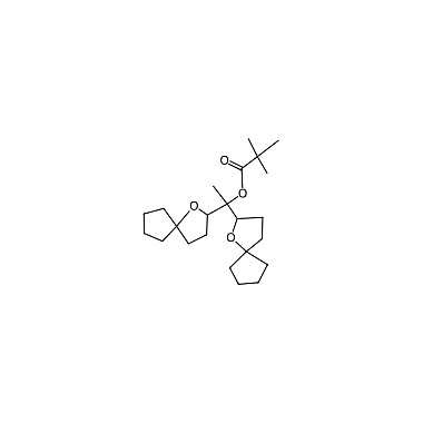 CC(C)(C)C(=O)OC(C)(C1CCC2(CCCC2)O1)C1CCC2(CCCC2)O1